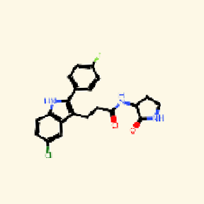 O=C(CCc1c(-c2ccc(F)cc2)[nH]c2ccc(Cl)cc12)NC1CCNC1=O